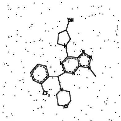 Cn1nnc2c(N3CCC(O)C3)nc(C(c3ccccc3C(F)(F)F)N3CCOCC3)nc21